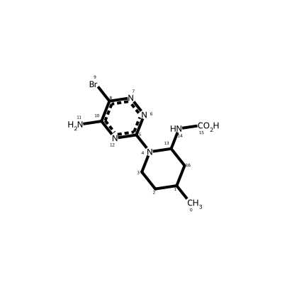 CC1CCN(c2nnc(Br)c(N)n2)C(NC(=O)O)C1